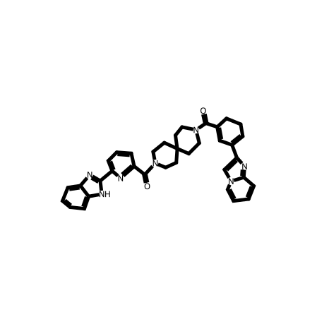 O=C(C1=CC(c2cn3ccccc3n2)=CCC1)N1CCC2(CC1)CCN(C(=O)c1cccc(-c3nc4ccccc4[nH]3)n1)CC2